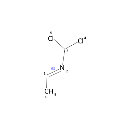 C/C=N/C(Cl)Cl